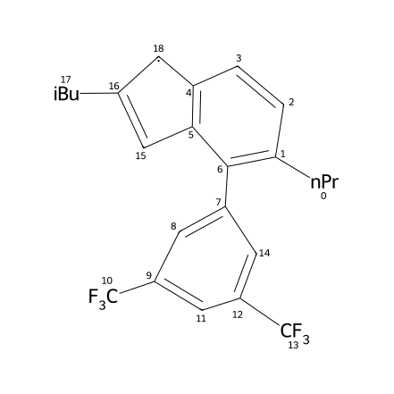 CCCc1ccc2c(c1-c1cc(C(F)(F)F)cc(C(F)(F)F)c1)C=C(C(C)CC)[CH]2